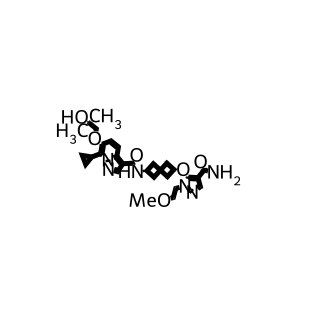 COCCn1ncc(C(N)=O)c1O[C@H]1CC2(C[C@H](NC(=O)c3cnn4c(C5CC5)c(OCC(C)(C)O)ccc34)C2)C1